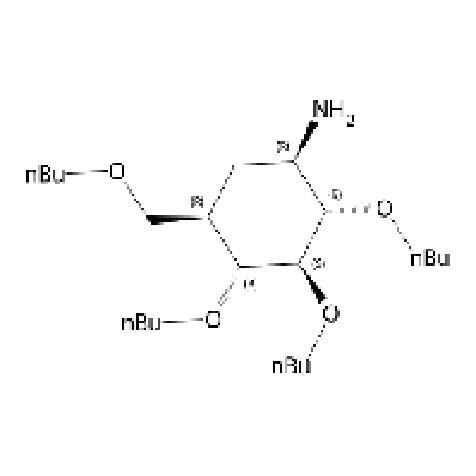 CCCCOC[C@H]1C[C@@H](N)[C@H](OCCCC)[C@@H](OCCCC)[C@@H]1OCCCC